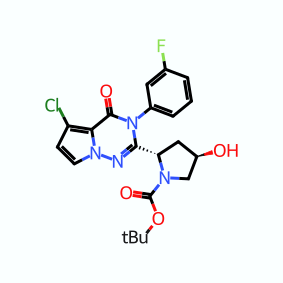 CC(C)(C)OC(=O)N1C[C@H](O)C[C@H]1c1nn2ccc(Cl)c2c(=O)n1-c1cccc(F)c1